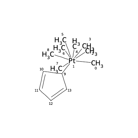 [CH3][Pt]([CH3])([CH3])([CH3])([CH3])([CH3])([CH3])([CH3])[CH]1C=CC=C1